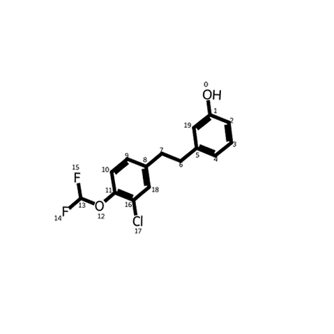 Oc1cccc(CCc2ccc(OC(F)F)c(Cl)c2)c1